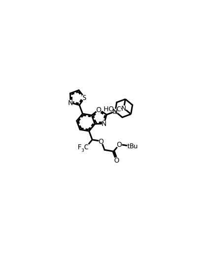 CC(C)(C)OC(=O)COC(c1ccc(-c2nccs2)c2oc(N3CC4CC(C3)N4C(=O)O)nc12)C(F)(F)F